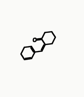 O=C1CCCCC1=CC1=CCCC=C1